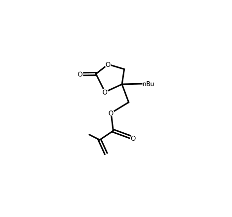 C=C(C)C(=O)OCC1(CCCC)COC(=O)O1